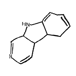 C1=CCC2C(=C1)NC1C=NC=CC12